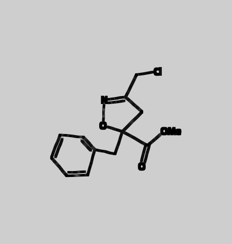 COC(=O)C1(Cc2ccccc2)CC(CCl)=NO1